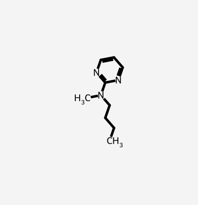 CCCCN(C)c1ncccn1